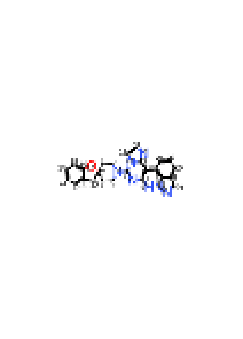 Cc1nc(N2CCC3(CC2)Cc2ccccc2O3)n2ccnc2c1-c1cccc2cn[nH]c12